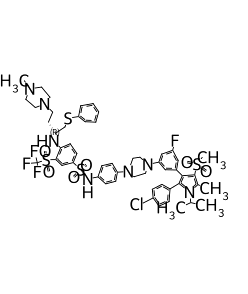 Cc1c(S(C)(=O)=O)c(-c2cc(F)cc(N3CCN(c4ccc(NS(=O)(=O)c5ccc(N[C@H](CCN6CCN(C)CC6)CSc6ccccc6)c(S(=O)(=O)C(F)(F)F)c5)cc4)CC3)c2)c(-c2ccc(Cl)cc2)n1C(C)C